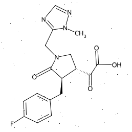 Cn1ncnc1CN1C[C@H](C(=O)C(=O)O)[C@@H](Cc2ccc(F)cc2)C1=O